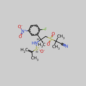 C=C(C)[S@@+]([O-])N[C@@](C)(CS(=O)(=O)C(C)(C)C#N)c1cc([N+](=O)[O-])ccc1F